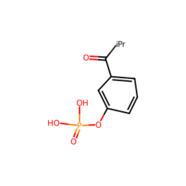 CC(C)C(=O)c1cccc(OP(=O)(O)O)c1